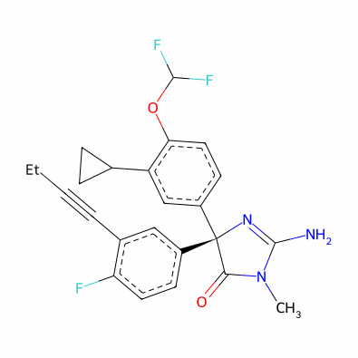 CCC#Cc1cc([C@@]2(c3ccc(OC(F)F)c(C4CC4)c3)N=C(N)N(C)C2=O)ccc1F